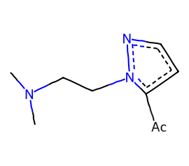 CC(=O)c1ccnn1CCN(C)C